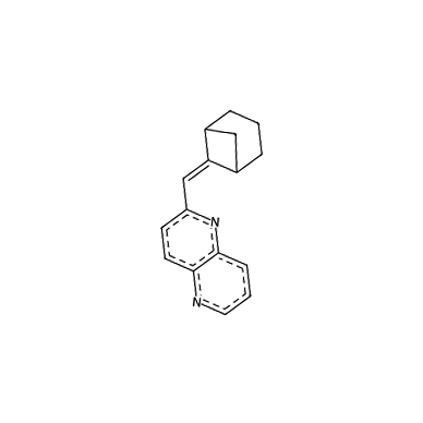 C(=C1C2CCCC1C2)c1ccc2ncccc2n1